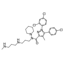 CNCCCNCCCN(C(=O)c1nn(-c2ccc(Cl)cc2Cl)c(-c2ccc(Cl)cc2)c1C)N1CCCCC1